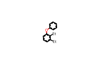 CCc1cc[c]c(Oc2ccccc2)c1CC